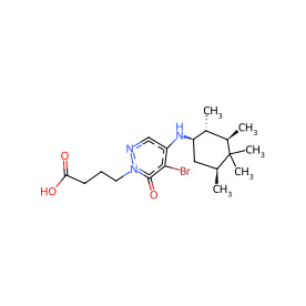 C[C@@H]1[C@@H](C)C(C)(C)[C@@H](C)C[C@H]1Nc1cnn(CCCC(=O)O)c(=O)c1Br